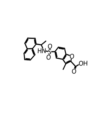 Cc1c(C(=O)O)oc2ccc(S(=O)(=O)NC(C)c3cccc4ccccc34)cc12